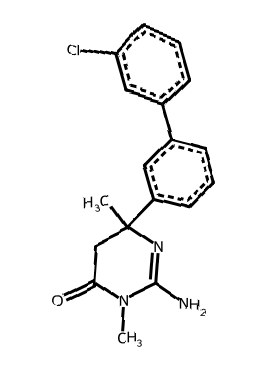 CN1C(=O)CC(C)(c2cccc(-c3cccc(Cl)c3)c2)N=C1N